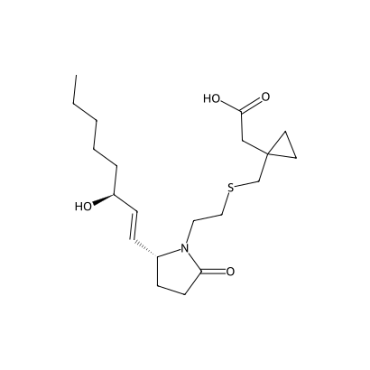 CCCCC[C@H](O)C=C[C@H]1CCC(=O)N1CCSCC1(CC(=O)O)CC1